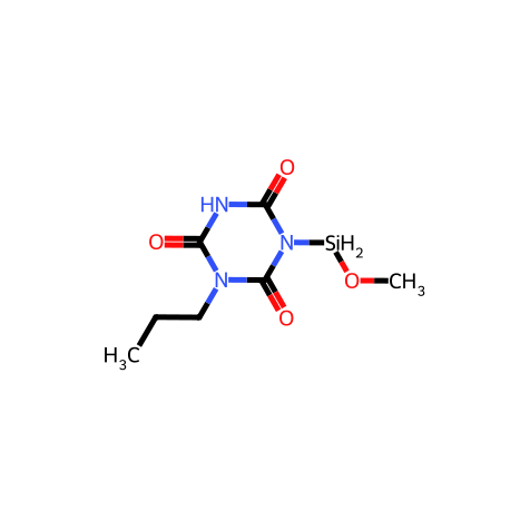 CCCn1c(=O)[nH]c(=O)n([SiH2]OC)c1=O